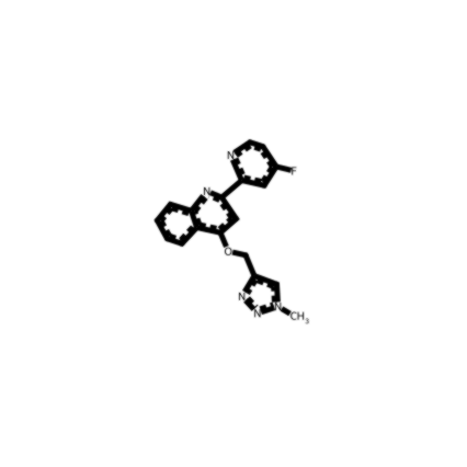 Cn1cc(COc2cc(-c3cc(F)ccn3)nc3ccccc23)nn1